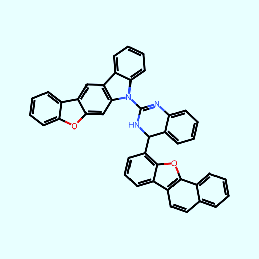 c1ccc2c(c1)N=C(n1c3ccccc3c3cc4c(cc31)oc1ccccc14)NC2c1cccc2c1oc1c3ccccc3ccc21